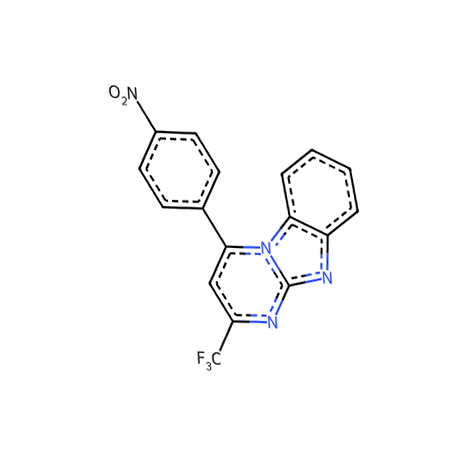 O=[N+]([O-])c1ccc(-c2cc(C(F)(F)F)nc3nc4ccccc4n23)cc1